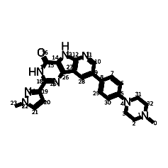 CN1CCN(c2ccc(-c3cnc4[nH]c5c(=O)[nH]c(-c6ccn(C)n6)nc5c4c3)cc2)CC1